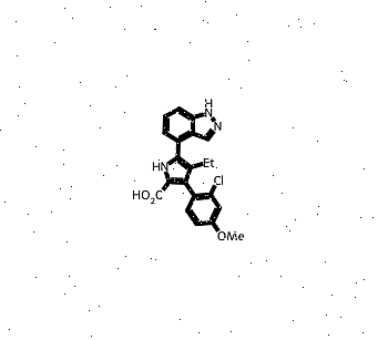 CCc1c(-c2cccc3[nH]ncc23)[nH]c(C(=O)O)c1-c1ccc(OC)cc1Cl